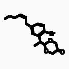 CCC/C=C\Cc1ccc(Br)c(C(C)C2OCC(=O)CO2)c1